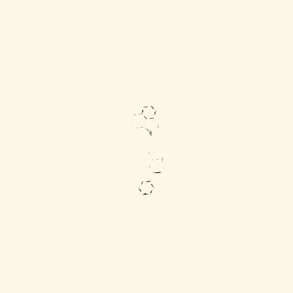 CC(=O)Oc1ccc2c3c1CCCC3(CCCCC1CC(c3ccccc3)=CCN1)C(=O)N2